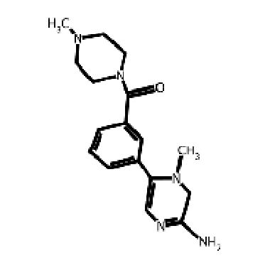 CN1CCN(C(=O)c2cccc(C3=CN=C(N)CN3C)c2)CC1